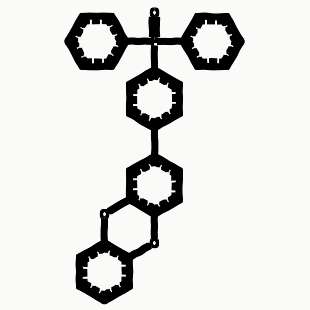 O=P(c1ccccc1)(c1ccccc1)c1ccc(-c2ccc3c(c2)Oc2ccccc2O3)cc1